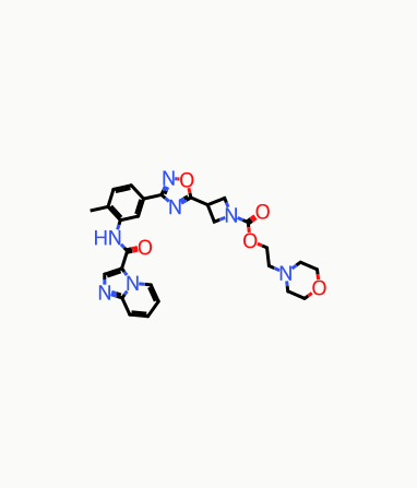 Cc1ccc(-c2noc(C3CN(C(=O)OCCN4CCOCC4)C3)n2)cc1NC(=O)c1cnc2ccccn12